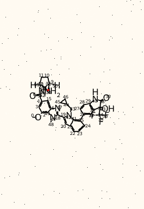 COc1cc(C(=O)N2C[C@H]3CC[C@@H]2[C@@H]3N)cc2nc(-c3cc4cccc(-c5ccc6c(c5)C(O)(C(F)(F)F)C(=O)N6)c4n3CC3CC3)n(C)c12